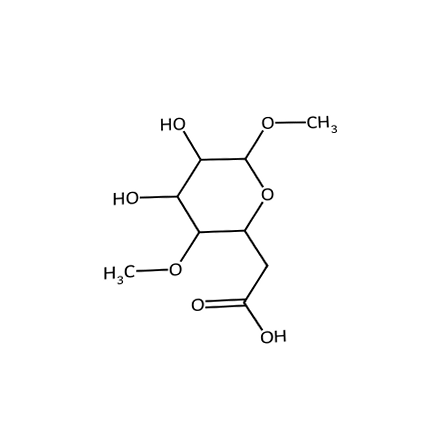 COC1OC(CC(=O)O)C(OC)C(O)C1O